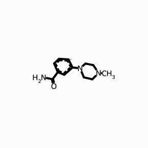 CN1CCN(c2[c]ccc(C(N)=O)c2)CC1